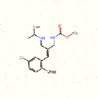 COc1ccc(Cl)cc1C=C(CNC(=O)OC(C)(C)C)CNC(C)OC(C)=O